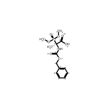 COP(=O)(OC)[C@](C)(NC(=O)OCc1ccccc1)C(=O)O